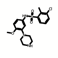 COc1ccc(NS(=O)(=O)c2cccc(Cl)c2C)cc1N1CCNCC1